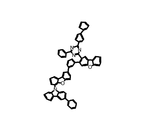 c1ccc(-c2ccc(-c3nc(-c4ccccc4)nc(-c4cc5c(cc4-c4cccc(-c6ccc7oc8c(-n9c%10ccccc%10c%10cc(-c%11ccccc%11)ccc%109)cccc8c7c6)c4)oc4ccccc45)n3)cc2)cc1